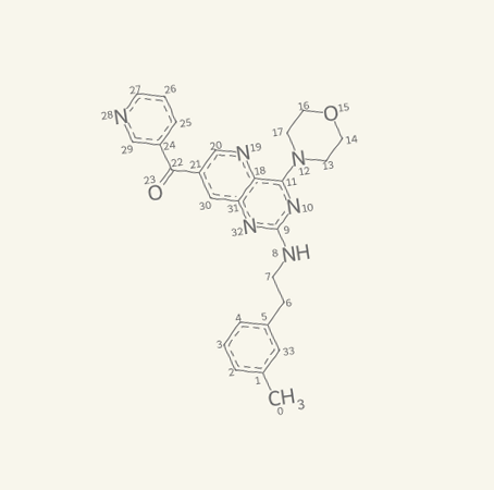 Cc1cccc(CCNc2nc(N3CCOCC3)c3ncc(C(=O)c4cccnc4)cc3n2)c1